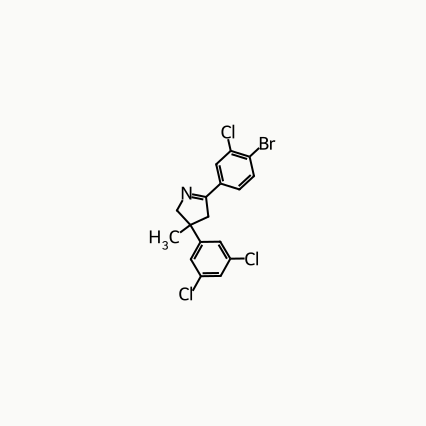 CC1(c2cc(Cl)cc(Cl)c2)CN=C(c2ccc(Br)c(Cl)c2)C1